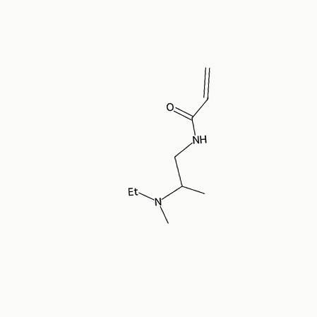 C=CC(=O)NCC(C)N(C)CC